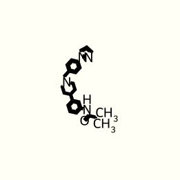 CC(C)C(=O)Nc1cccc(C2CCN(Cc3ccc(-n4cccn4)cc3)CC2)c1